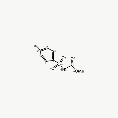 [CH2]OC(=O)NS(=O)(=O)c1ccc(C)cc1